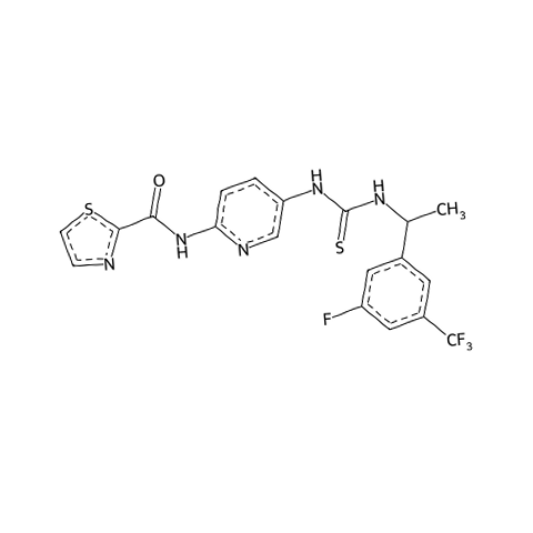 CC(NC(=S)Nc1ccc(NC(=O)c2nccs2)nc1)c1cc(F)cc(C(F)(F)F)c1